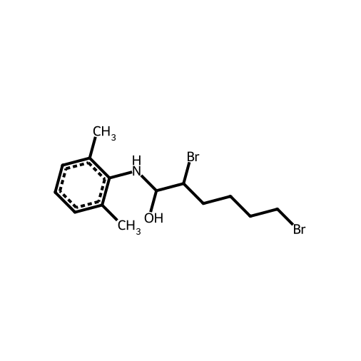 Cc1cccc(C)c1NC(O)C(Br)CCCCBr